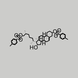 Cc1ccc(S(=O)(=O)OC[C@H](C)CCC[C@@H](C)[C@H]2[C@@H](O)C[C@H]3[C@@H]4CC=C5CC(OS(=O)(=O)c6ccc(C)cc6)CC[C@]5(C)[C@H]4CC[C@]23C)cc1